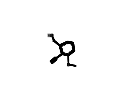 C#Cc1c([CH]O)cccc1OC